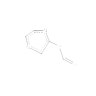 O=COc1cnccn1